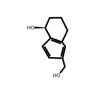 OCc1ccc2c(c1)CCC[C@@H]2O